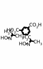 CC(C)=NO.CC(C)=NO.O=C(O)c1cccc(C(=O)O)c1